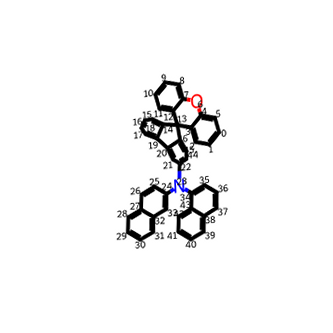 c1ccc2c(c1)Oc1ccccc1C21c2ccccc2-c2cc(N(c3ccc4ccccc4c3)c3cccc4ccccc34)ccc21